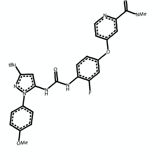 CNC(=O)c1cc(Oc2ccc(NC(=O)Nc3cc(C(C)(C)C)nn3-c3ccc(OC)cc3)c(F)c2)ccn1